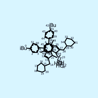 CCC(C)c1ccc(-c2cc(C)cc3c2C=C(CC2CCCCC2)[CH]3[Zr]([CH3])([CH3])(=[SiH2])[CH]2C(CC3CCCCC3)=Cc3c(-c4ccc(C(C)CC)cc4)cc(C)cc32)cc1.Cl.Cl